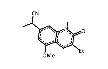 CCc1cc2c(OC)cc(C(C)C#N)cc2[nH]c1=O